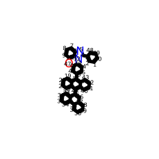 c1ccc(-c2nc3cccc4c3n2-c2ccc(-c3c5ccccc5c(-c5cc6ccccc6c6ccccc56)c5ccccc35)cc2O4)cc1